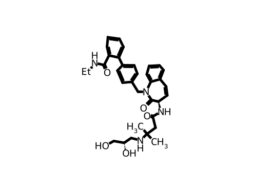 CCNC(=O)c1ccccc1-c1ccc(CN2C(=O)[C@H](NC(=O)CC(C)(C)NC[C@H](O)CO)C=Cc3ccccc32)cc1